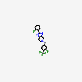 Fc1ccccc1-c1nc2ccn(Cc3ccc(C(F)(F)F)c(F)c3)cc-2n1